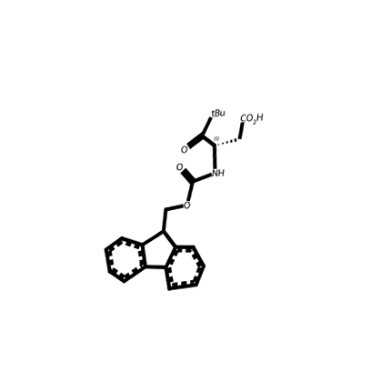 CC(C)(C)C(=O)[C@H](CC(=O)O)NC(=O)OCC1c2ccccc2-c2ccccc21